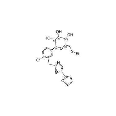 CCSC[C@H]1O[C@@H](c2ccc(Cl)c(Cc3ncc(-c4ccco4)s3)c2)[C@H](O)[C@@H](O)[C@@H]1O